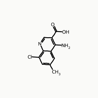 Cc1cc(Cl)c2ncc(C(=O)O)c(N)c2c1